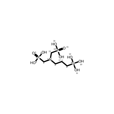 O=P(O)(O)CN(CCC[Si](O)(O)O)CP(=O)(O)O